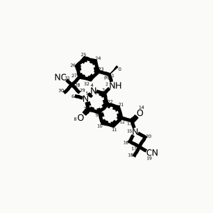 C[C@@H](Nc1nn(C)c(=O)c2ccc(C(=O)N3CC(C)(C#N)C3)cc12)c1cccc(C(C)(C)C#N)c1